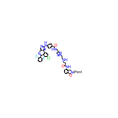 CCCC(C)N1Cc2c(NC(=O)CCNCCn3ncc(CNC(=O)c4ccc(Nc5ncc6c(n5)-c5ccc(Cl)cc5C(c5c(F)cccc5F)=NC6)cc4)n3)cccc2C1=O